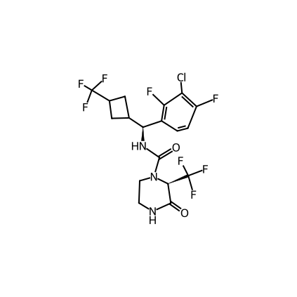 O=C1NCCN(C(=O)N[C@H](c2ccc(F)c(Cl)c2F)C2CC(C(F)(F)F)C2)[C@H]1C(F)(F)F